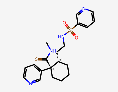 CNC(=S)[C@]1(c2cccnc2)CCCC[C@H]1CCNS(=O)(=O)c1cccnc1